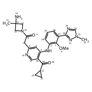 COc1c(Nc2cc(CC(=O)N3CC(C)(N)C3)ncc2C(=O)C2CC2)cccc1-c1ncn(C)n1